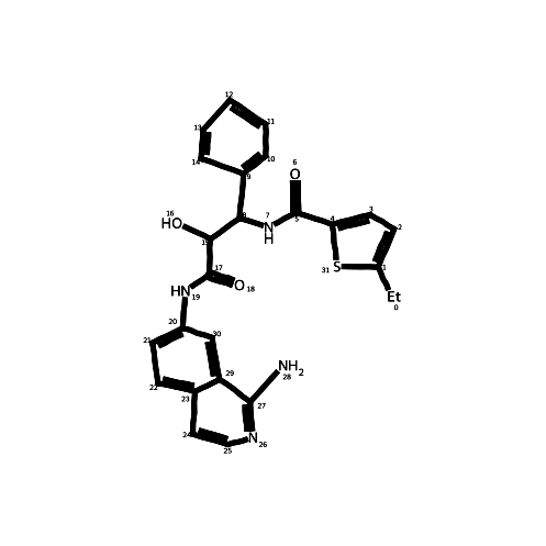 CCc1ccc(C(=O)NC(c2ccccc2)C(O)C(=O)Nc2ccc3ccnc(N)c3c2)s1